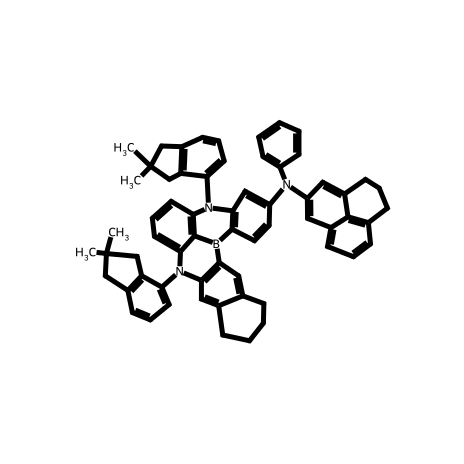 CC1(C)Cc2cccc(N3c4cc(N(c5ccccc5)c5cc6c7c(cccc7c5)CCC6)ccc4B4c5cc6c(cc5N(c5cccc7c5CC(C)(C)C7)c5cccc3c54)CCCC6)c2C1